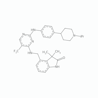 CC(C)N1CCC(c2ccc(Nc3ncc(C(F)(F)F)c(NCc4cccc5c4C(C)(C)C(=O)N5)n3)cc2)CC1